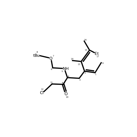 C/C=C(CC(NCOC(C)(C)C)C(=O)CCl)\C(C)=C(\C)CC